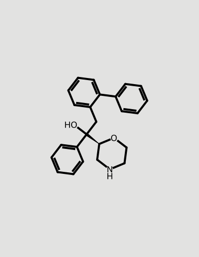 OC(Cc1ccccc1-c1ccccc1)(c1ccccc1)[C@@H]1CNCCO1